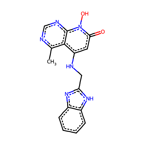 Cc1ncnc2c1c(NCc1nc3ccccc3[nH]1)cc(=O)n2O